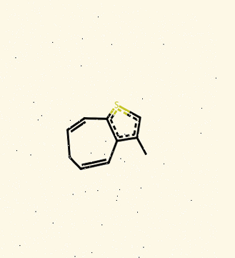 Cc1csc2c1C=CCC=C2